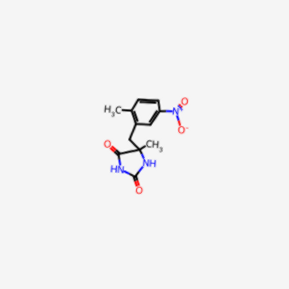 Cc1ccc([N+](=O)[O-])cc1CC1(C)NC(=O)NC1=O